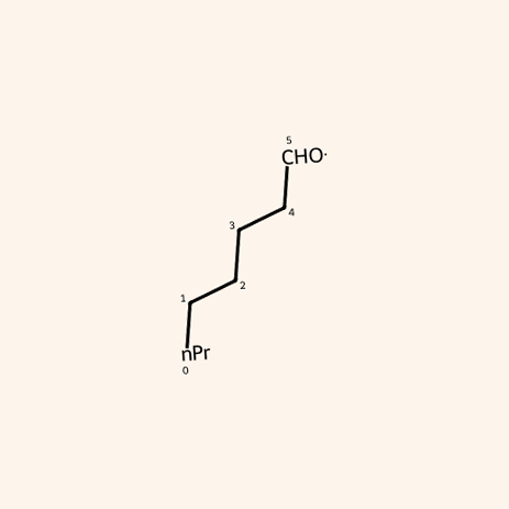 CCCCCCC[C]=O